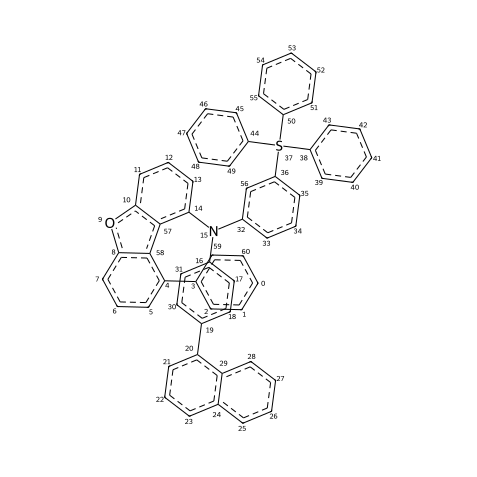 c1ccc(-c2cccc3oc4cccc(N(c5ccc(-c6cccc7ccccc67)cc5)c5cccc(S(c6ccccc6)(c6ccccc6)c6ccccc6)c5)c4c23)cc1